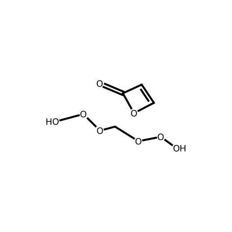 O=C1C=CO1.OOOCOOO